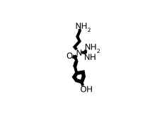 N=C(N)N(CCCCN)C(=O)/C=C/c1ccc(O)cc1